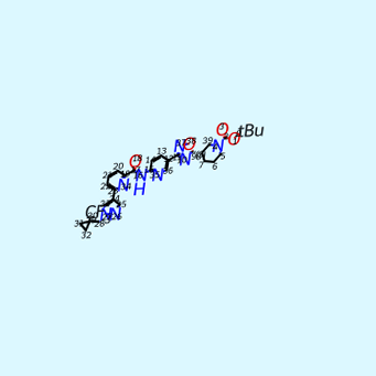 CC(C)(C)OC(=O)N1CCC[C@H](c2nc(-c3ccc(NC(=O)c4cccc(-c5cnn(CC6(C(F)(F)F)CC6)c5)n4)nc3)no2)C1